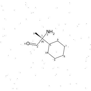 C[C@](N)([C]=O)C1CCCCC1